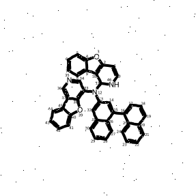 C1=Cc2oc3ccccc3c2C(N(c2cc(-c3cccc4ccccc34)c3ccccc3c2)c2cncc3c2oc2ccccc23)N1